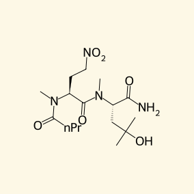 CCCC(=O)N(C)[C@@H](CC[N+](=O)[O-])C(=O)N(C)[C@@H](CC(C)(C)O)C(N)=O